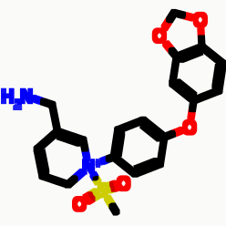 CS(=O)(=O)[N+]1(c2ccc(Oc3ccc4c(c3)OCO4)cc2)C=C(CN)C=CC1